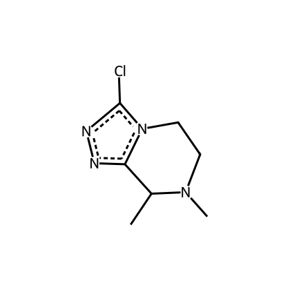 CC1c2nnc(Cl)n2CCN1C